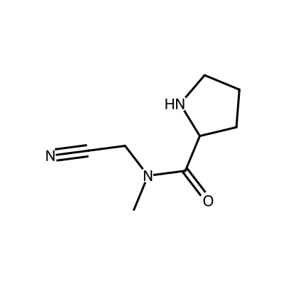 CN(CC#N)C(=O)C1CCCN1